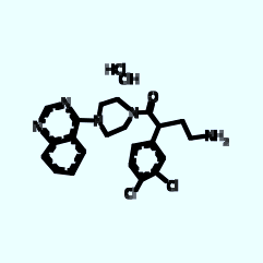 Cl.Cl.NCCC(C(=O)N1CCN(c2ncnc3ccccc23)CC1)c1ccc(Cl)c(Cl)c1